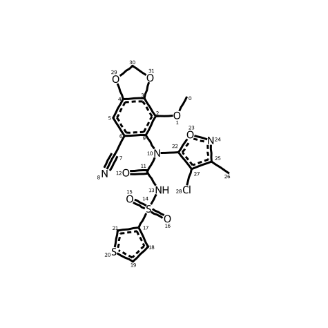 COc1c2c(cc(C#N)c1N(C(=O)NS(=O)(=O)c1ccsc1)c1onc(C)c1Cl)OCO2